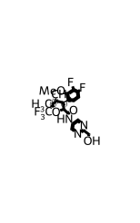 COc1c([C@H]2C(C(=O)Nc3cnc(CO)nc3)O[C@@](C)(C(F)(F)F)[C@H]2C)ccc(F)c1F